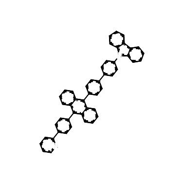 c1ccc(-c2ccc(-c3c4ccccc4c(-c4ccc(-c5ccc(-n6c7ccccc7c7ccccc76)cc5)cc4)c4ccccc34)cc2)nc1